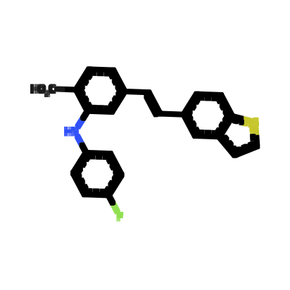 O=C(O)c1ccc(C=Cc2ccc3sccc3c2)cc1Nc1ccc(F)cc1